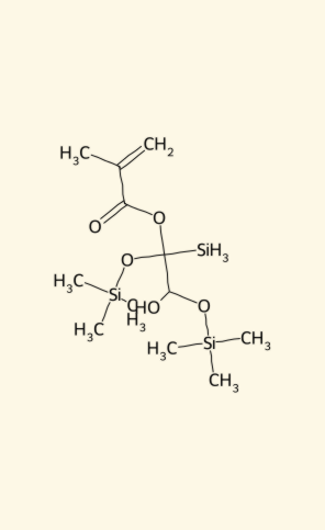 C=C(C)C(=O)OC([SiH3])(O[Si](C)(C)C)C(O)O[Si](C)(C)C